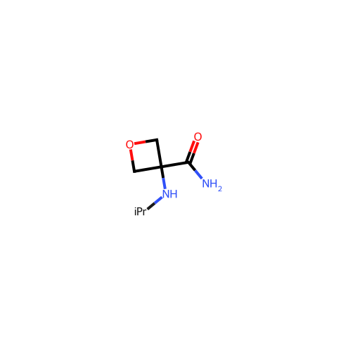 CC(C)NC1(C(N)=O)COC1